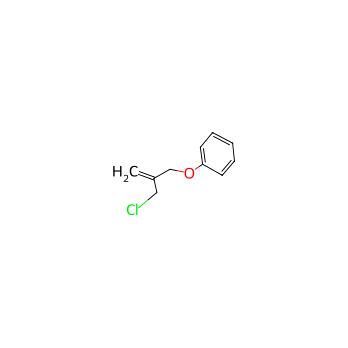 C=C(CCl)COc1ccccc1